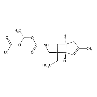 CCC(=O)O[C@H](C)OC(=O)NC[C@@]1(CC(=O)O)C[C@H]2CC(C)=C[C@@H]21